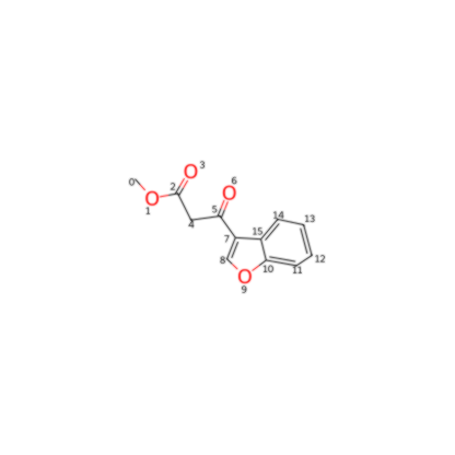 COC(=O)CC(=O)c1coc2ccccc12